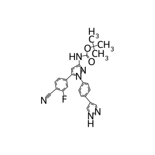 CC(C)(C)OC(=O)Nc1cc(-c2ccc(C#N)c(F)c2)n(-c2ccc(-c3cn[nH]c3)cc2)n1